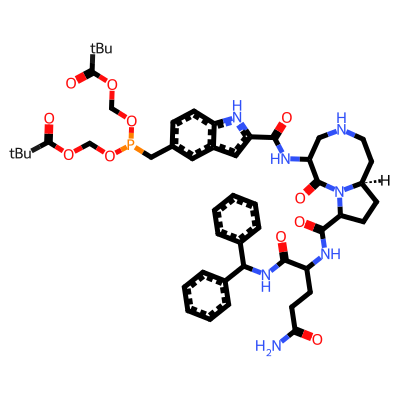 CC(C)(C)C(=O)OCOP(Cc1ccc2[nH]c(C(=O)NC3CNCC[C@H]4CCC(C(=O)NC(CCC(N)=O)C(=O)NC(c5ccccc5)c5ccccc5)N4C3=O)cc2c1)OCOC(=O)C(C)(C)C